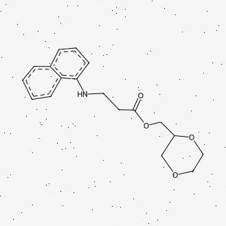 O=C(CCNc1cccc2ccccc12)OCC1COCCO1